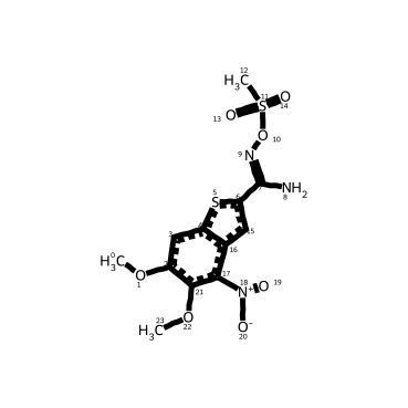 COc1cc2sc(C(N)=NOS(C)(=O)=O)cc2c([N+](=O)[O-])c1OC